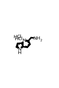 Cl.Cl.NCc1ccc2[nH]ccc2n1